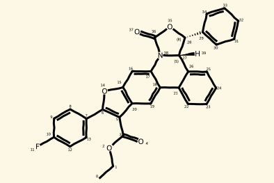 CCOC(=O)c1c(-c2ccc(F)cc2)oc2cc3c(cc12)-c1ccccc1[C@H]1[C@@H](c2ccccc2)OC(=O)N31